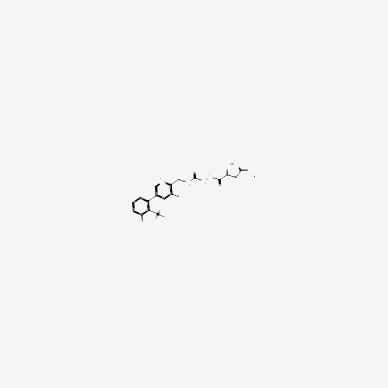 COC1=NOC(C(=O)NNC(=O)NCc2ncc(-c3cccc(Cl)c3C(F)(F)F)cc2F)C1